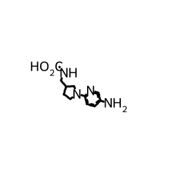 Nc1ccc(N2CCC(CNC(=O)O)C2)nc1